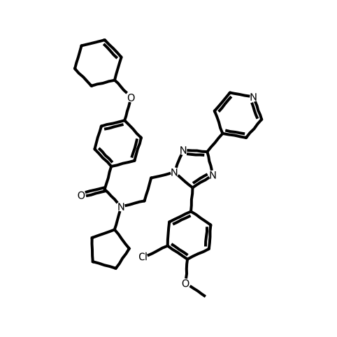 COc1ccc(-c2nc(-c3ccncc3)nn2CCN(C(=O)c2ccc(OC3C=CCCC3)cc2)C2CCCC2)cc1Cl